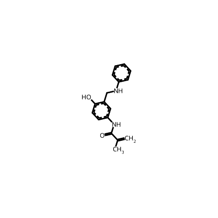 C=C(C)C(=O)Nc1ccc(O)c(CNc2ccccc2)c1